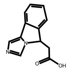 O=C(O)CC1c2ccccc2-c2cncn21